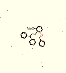 COc1c[c]cc(OCc2ccccc2)c1CCC(c1ccccc1)c1ccccc1